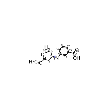 CC/C(CC(=O)OC)=N\c1cccc(C(=O)O)c1